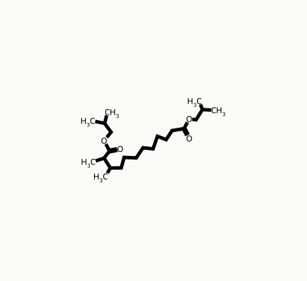 CC(C)COC(=O)CCCCCCCCC(C)C(C)C(=O)OCC(C)C